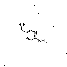 Nc1ccc(CC(F)(F)F)cn1